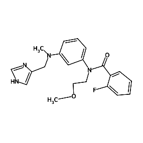 COCCN(C(=O)c1ccccc1F)c1cccc(N(C)Cc2c[nH]cn2)c1